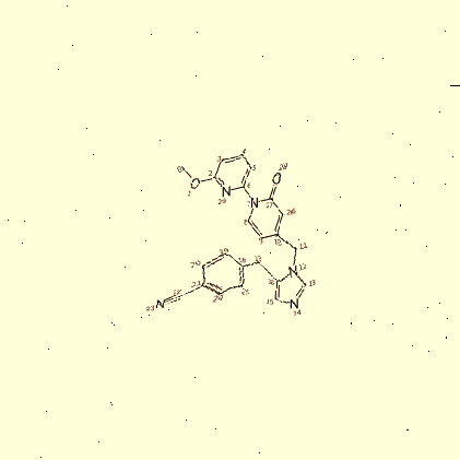 COc1cccc(-n2ccc(Cn3cncc3Cc3ccc(C#N)cc3)cc2=O)n1